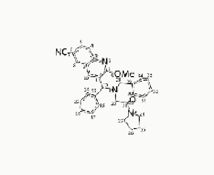 COc1nc2ccc(C#N)cc2cc1C(c1ccccc1)N(CC(=O)N1CCCC1)Cc1ccccc1